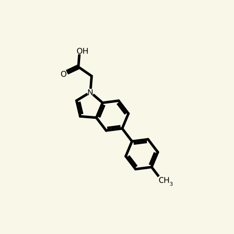 Cc1ccc(-c2ccc3c(ccn3CC(=O)O)c2)cc1